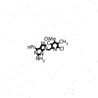 CCCc1nc(N)nc2c1ccn2Cc1nc(Cl)c(C)c(OC)c1C